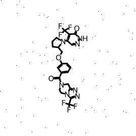 O=C(c1cccc(OCC2CCCN2c2cn[nH]c(=O)c2C(F)(F)F)c1)N1CCn2c(nnc2C(F)(F)F)C1